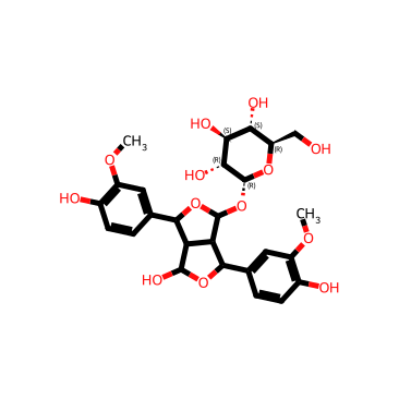 COc1cc(C2OC(O[C@H]3O[C@H](CO)[C@@H](O)[C@H](O)[C@H]3O)C3C(c4ccc(O)c(OC)c4)OC(O)C23)ccc1O